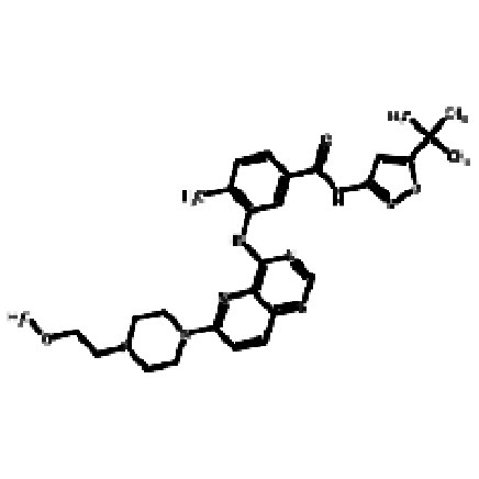 COCCN1CCN(c2ccc3ncnc(Nc4cc(C(=O)Nc5cc(C(C)(C)C)on5)ccc4C)c3n2)CC1